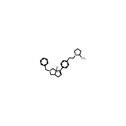 CC1CCCN1CCc1ccc(C2=CCC3CN(Cc4ccccc4)C[C@H]23)cc1